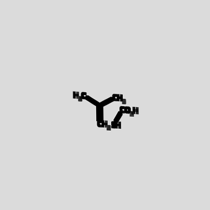 C=C(C)C.O=C(O)S